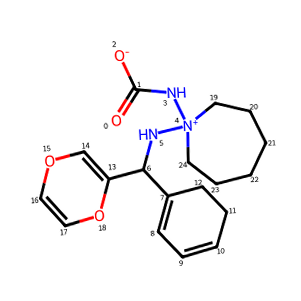 O=C([O-])N[N+]1(NC(C2=CC=CCC2)C2=COC=CO2)CCCCCC1